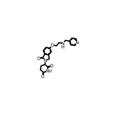 O=C1CCC(N2Cc3cc(OCCNCc4ccncc4)ccc3C2=O)C(=O)N1